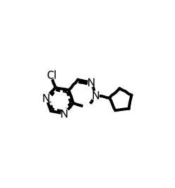 Cc1ncnc(Cl)c1/C=N\N(C)C1CCCC1